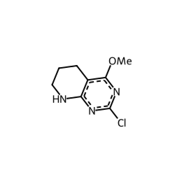 COc1nc(Cl)nc2c1CCCN2